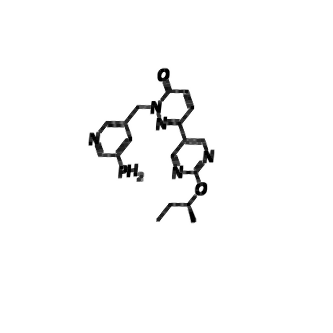 CC[C@H](C)Oc1ncc(-c2ccc(=O)n(Cc3cncc(P)c3)n2)cn1